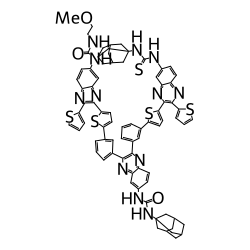 COCCNC(=O)Nc1ccc2nc(-c3cccs3)c(-c3ccc(-c4cccc(-c5nc6cc(NC(=O)NC78CC9CC(CC(C9)C7)C8)ccc6nc5-c5cccc(-c6ccc(-c7nc8cc(NC(=S)NC9%10CC%11CC(CC(C%11)C9)C%10)ccc8nc7-c7cccs7)s6)c5)c4)s3)nc2c1